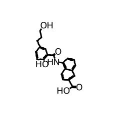 O=C(O)c1ccc2c(NC(=O)c3cc(CCCO)ccc3O)cccc2c1